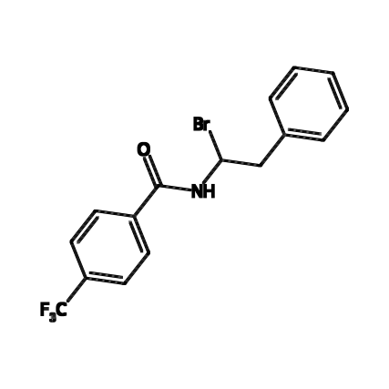 O=C(NC(Br)Cc1ccccc1)c1ccc(C(F)(F)F)cc1